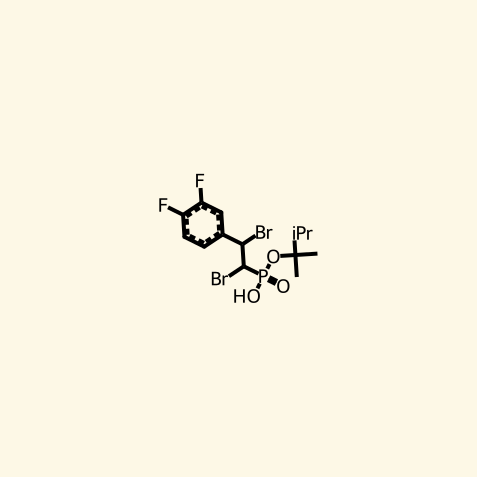 CC(C)C(C)(C)OP(=O)(O)C(Br)C(Br)c1ccc(F)c(F)c1